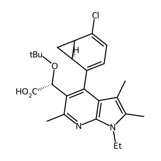 CCn1c(C)c(C)c2c(C3=CC=C(Cl)C4C[C@H]34)c([C@@H](OC(C)(C)C)C(=O)O)c(C)nc21